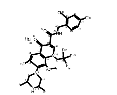 COc1c(N2CC(C)NC(C)C2)c(F)cc2c(=O)c(C(=O)NCc3ccc(Cl)cc3Cl)cn(CC(F)(F)F)c12.Cl